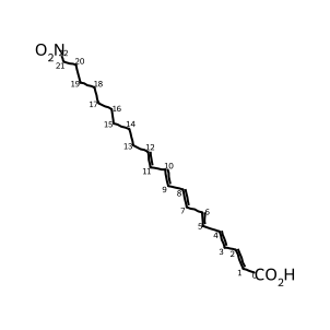 O=C(O)C=CC=CC=CC=CC=CC=CCCCCCCCCC[N+](=O)[O-]